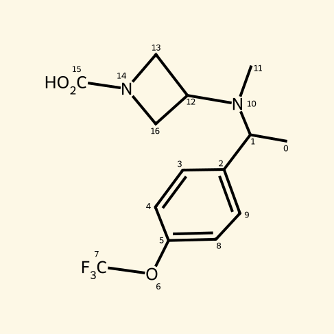 CC(c1ccc(OC(F)(F)F)cc1)N(C)C1CN(C(=O)O)C1